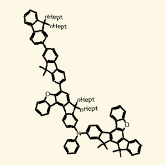 CCCCCCCC1(CCCCCCC)c2ccccc2-c2ccc(-c3ccc4c(c3)C(C)(C)c3cc(-c5cc6c(c7c5oc5ccccc57)-c5ccc(N(c7ccccc7)c7ccc8c(c7)C(C)(C)c7c9c(c%10oc%11ccccc%11c%10c7-8)-c7ccccc7C9(C)C)cc5C6(CCCCCCC)CCCCCCC)ccc3-4)cc21